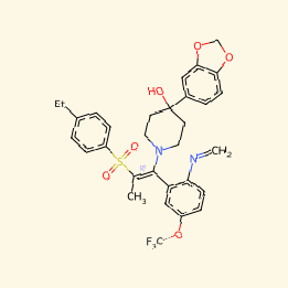 C=Nc1ccc(OC(F)(F)F)cc1/C(=C(\C)S(=O)(=O)c1ccc(CC)cc1)N1CCC(O)(c2ccc3c(c2)OCO3)CC1